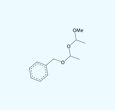 COC(C)OC(C)OCc1ccccc1